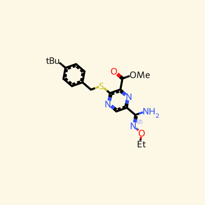 CCO/N=C(\N)c1cnc(SCc2ccc(C(C)(C)C)cc2)c(C(=O)OC)n1